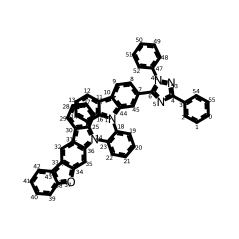 c1ccc(-c2nc(-c3ccc4c5ccccc5n(-c5ccccc5-n5c6ccccc6c6cc7c(cc65)oc5ccccc57)c4c3)n(-c3ccccc3)n2)cc1